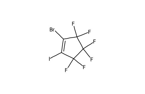 FC1(F)C(Br)=C(I)C(F)(F)C1(F)F